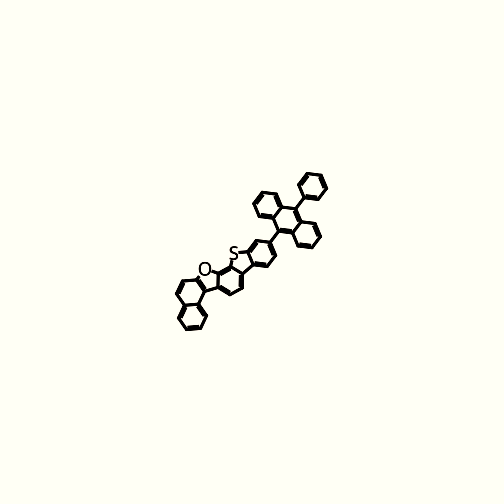 c1ccc(-c2c3ccccc3c(-c3ccc4c(c3)sc3c4ccc4c3oc3ccc5ccccc5c34)c3ccccc23)cc1